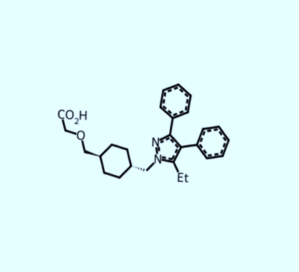 CCc1c(-c2ccccc2)c(-c2ccccc2)nn1C[C@H]1CC[C@H](COCC(=O)O)CC1